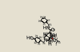 CC(C)CC[C@@H]1[C@@H]2[C@@H]3C(=O)N[C@@]1(C(=O)NCc1ccccc1)C[C@@H]3CN2Cc1ccc(O)cc1